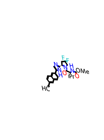 C#Cc1ccc2cc(-c3cnc([C@@H]4CC(F)(F)CN4C(=O)[C@@H](NC(=O)OC)C(C)C)[nH]3)ccc2c1